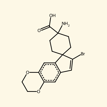 NC1(C(=O)O)CCC2(CC1)C(Br)=Cc1cc3c(cc12)OCCO3